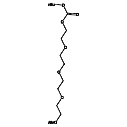 CCCCOC(=O)OCCOCCOCCOCCOC